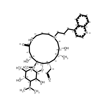 CO[C@@H]1[C@@H](O[C@@H]2OC(C)[C@@H](O)C(N(C)C)C2O)[C@@H](CC=O)C[C@@H](C)[C@@H](O)CN(CCCc2ccnc3ccccc23)CCCNC(=O)C[C@H]1O